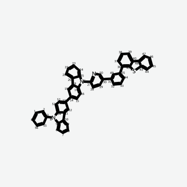 c1ccc(-n2c3ccccc3c3cc(-c4ccc5c(c4)c4ccccc4n5-c4ccc(-c5cccc(-c6cccc7c6sc6ccccc67)c5)cn4)ccc32)cc1